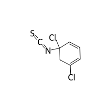 S=C=NC1(Cl)C=CC=C(Cl)C1